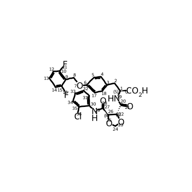 O=C(O)[C@H](Cc1ccc(OCc2c(F)cccc2F)cc1)NC(=O)[C@@H]1OCO[C@H]1C(=O)Nc1ccccc1Cl